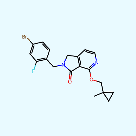 CC1(COc2nccc3c2C(=O)N(Cc2ccc(Br)cc2F)C3)CC1